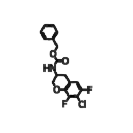 O=C(NC1COc2c(cc(F)c(Cl)c2F)C1)OCc1ccccc1